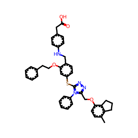 Cc1ccc(OCc2nnc(Sc3ccc(CNc4ccc(CC(=O)O)cc4)c(OCCc4ccccc4)c3)n2-c2ccccc2)c2c1CCC2